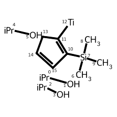 CC(C)O.CC(C)O.CC(C)O.C[Si](C)(C)C1=[C]([Ti])CC=C1